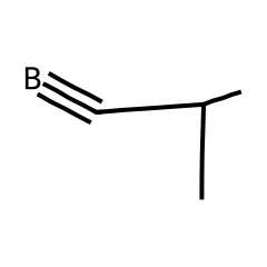 B#CC(C)C